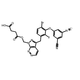 [C-]#[N+]c1cc(C#N)cc(Oc2c(Br)ccc(Cc3nn(COC(=O)CCC(=O)O)c4nnccc34)c2F)c1